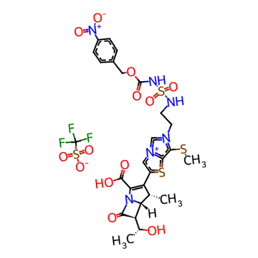 CSc1c2sc(C3=C(C(=O)O)N4C(=O)[C@H]([C@@H](C)O)[C@H]4[C@H]3C)c[n+]2cn1CCNS(=O)(=O)NC(=O)OCc1ccc([N+](=O)[O-])cc1.O=S(=O)([O-])C(F)(F)F